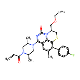 C=CC(=O)N1C[C@H](C)N(c2nc(=O)n3c4c(c(-c5ccc(F)cc5)c(C)cc24)SC[C@@H]3COCOC)C[C@H]1C